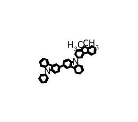 CC1(C)C2=CCC(n3c4c(c5cc(-c6ccc7c(c6)c6ccccc6n7-c6ccccc6)ccc53)CCC=C4)C=C2c2ccccc21